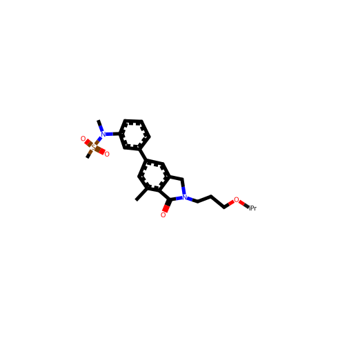 Cc1cc(-c2cccc(N(C)S(C)(=O)=O)c2)cc2c1C(=O)N(CCCOC(C)C)C2